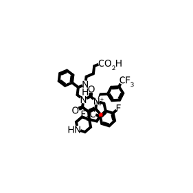 O=C(O)CCCNC(CN1C(=O)C2=C(CCC23CCNCC3)[N@@+](Cc2cccc(C(F)(F)F)c2)(Cc2c(F)cccc2C(F)(F)F)C1=O)c1ccccc1